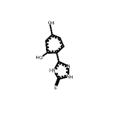 Oc1ccc(-c2n[nH]c(=S)[nH]2)c(O)c1